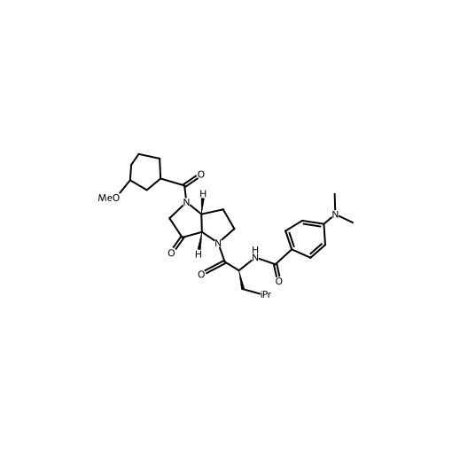 COC1CCCC(C(=O)N2CC(=O)[C@@H]3[C@H]2CCN3C(=O)[C@H](CC(C)C)NC(=O)c2ccc(N(C)C)cc2)C1